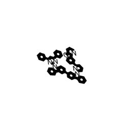 c1ccc(-c2cc(-c3ccccc3)nc(-n3c4ccccc4c4cc(-c5ccc6c7ccccc7n(-c7cccc(-c8ccc9oc%10cccnc%10c9c8)n7)c6c5)ccc43)n2)cc1